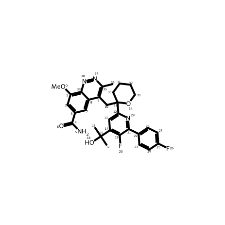 COc1cc(C(N)=O)cc2c(CC3(c4cc(C(C)(C)O)c(F)c(-c5ccc(F)cc5)n4)CCCCO3)c(C)nnc12